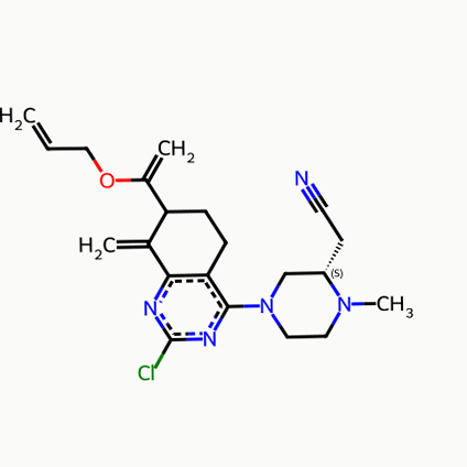 C=CCOC(=C)C1CCc2c(nc(Cl)nc2N2CCN(C)[C@@H](CC#N)C2)C1=C